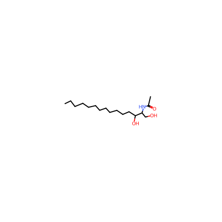 CCCCCCCCCCCCC(O)C(CO)NC(C)=O